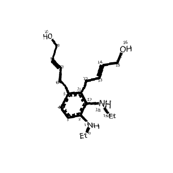 CCNc1ccc(CC=CCO)c(CC=CCO)c1NCC